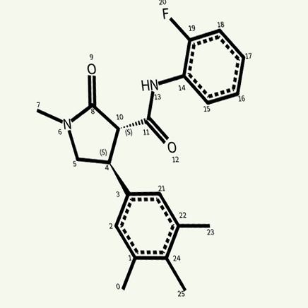 Cc1cc([C@H]2CN(C)C(=O)[C@@H]2C(=O)Nc2ccccc2F)cc(C)c1C